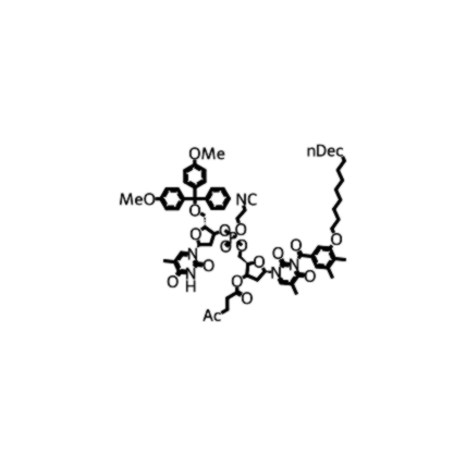 [C-]#[N+]CCOP(=O)(OC[C@H]1O[C@@H](n2cc(C)c(=O)n(C(=O)c3cc(C)c(C)c(OCCCCCCCCCCCCCCCCCC)c3)c2=O)CC1OC(=O)CCC(C)=O)OC1C[C@H](n2cc(C)c(=O)[nH]c2=O)O[C@@H]1COC(c1ccccc1)(c1ccc(OC)cc1)c1ccc(OC)cc1